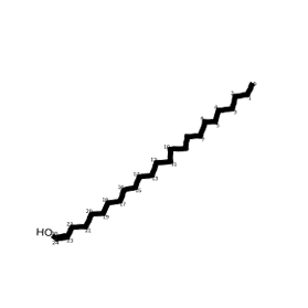 CCCCCCCCCCCCCCCCCCCCCCC/C=C\O